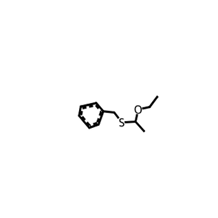 CCOC(C)SCc1ccccc1